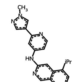 CC(C)c1cccc2cnc(Nc3ccnc(-c4cnn(C)c4)c3)cc12